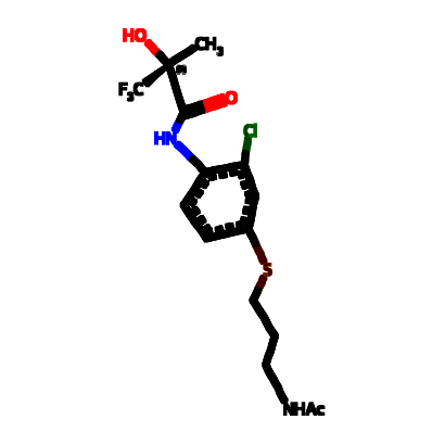 CC(=O)NCCCSc1ccc(NC(=O)[C@@](C)(O)C(F)(F)F)c(Cl)c1